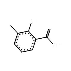 CCCC(=O)c1cccc(C)c1N